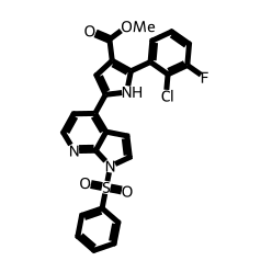 COC(=O)c1cc(-c2ccnc3c2ccn3S(=O)(=O)c2ccccc2)[nH]c1-c1cccc(F)c1Cl